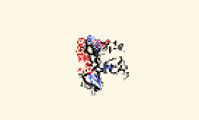 CN(C)c1cc(CN2CCCC23CC3)c(O)c2c1C[C@H]1C[C@H]3[C@H](N(C)C)C(O)=C(C(N)=O)C(=O)[C@@]3(O)C(O)=C1C2=O